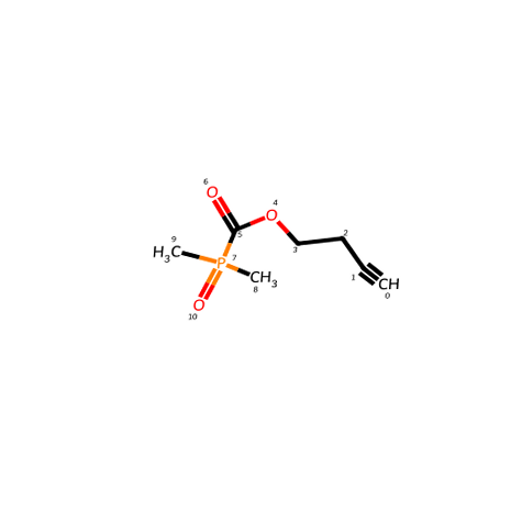 C#CCCOC(=O)P(C)(C)=O